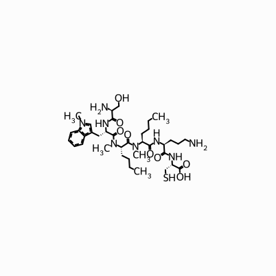 CCCC[C@@H](C(=O)N(C)[C@@H](CCCC)C(=O)N[C@@H](CCCN)C(=O)N[C@@H](CS)C(=O)O)N(C)C(=O)[C@H](Cc1cn(C)c2ccccc12)NC(=O)[C@@H](N)CO